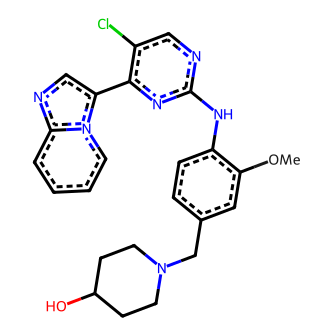 COc1cc(CN2CCC(O)CC2)ccc1Nc1ncc(Cl)c(-c2cnc3ccccn23)n1